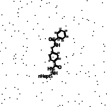 CCCCCCCNNC(=O)c1ccc(CNC(=O)c2ccccc2)cc1